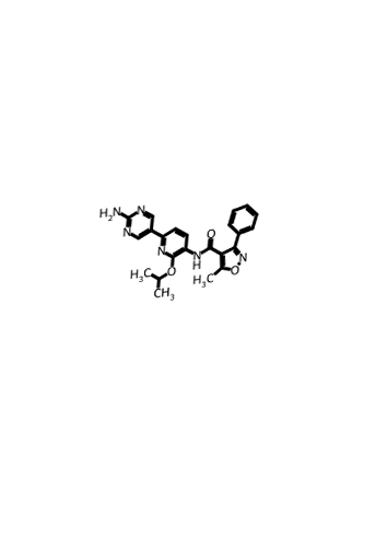 Cc1onc(-c2ccccc2)c1C(=O)Nc1ccc(-c2cnc(N)nc2)nc1OC(C)C